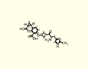 Cc1nc(C[C@H](N)C(=O)N2CC(Oc3ccc4c(c3C(=O)O)OB(O)[C@H]3C[C@@H]43)C2)c[nH]1